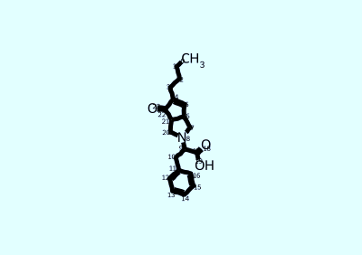 CCCCC1=CC2CN(C(Cc3ccccc3)C(=O)O)CC2C1=O